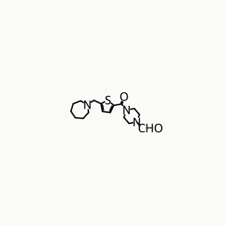 O=CN1CCN(C(=O)c2ccc(CN3CCCCCC3)s2)CC1